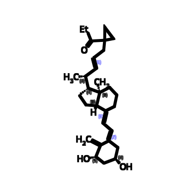 C=C1/C(=C\C=C2/CCC[C@]3(C)[C@@H]([C@H](C)/C=C/CC4(C(=O)CC)CC4)CC[C@@H]23)C[C@@H](O)C[C@@H]1O